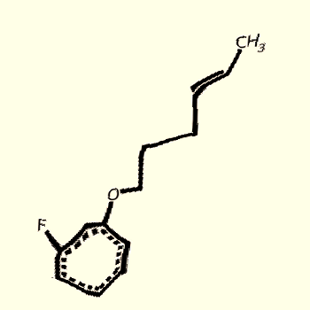 CC=CCCCOc1ccc[c]c1F